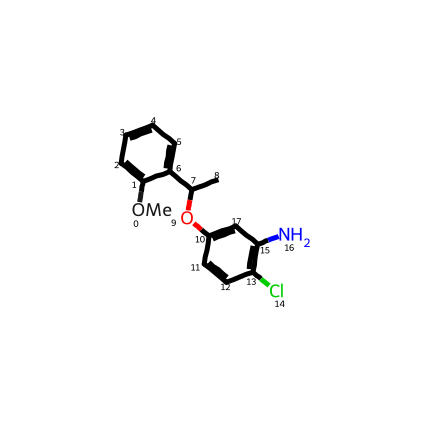 COc1ccccc1C(C)Oc1ccc(Cl)c(N)c1